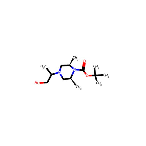 CC(CO)N1C[C@@H](C)N(C(=O)OC(C)(C)C)[C@@H](C)C1